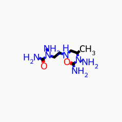 CC(CNCCN(N)C(N)=O)N(N)C(N)=O